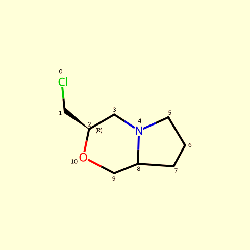 ClC[C@H]1CN2CCCC2CO1